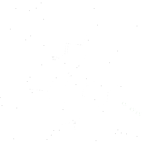 CC1=C(C)C(C)([Si](C)(c2cccc(C)c2)c2cc(C)cc([Si](C)(C)C)c2)[C]([Ti+3])=C1C.[Cl-].[Cl-].[Cl-]